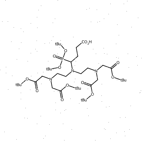 CC(C)(C)OC(=O)CN(CCN(CCN(CC(=O)OC(C)(C)C)CC(=O)OC(C)(C)C)C(CCC(=O)O)P(=O)(OC(C)(C)C)OC(C)(C)C)CC(=O)OC(C)(C)C